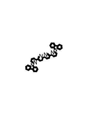 C1=NC(c2ccc(-c3cccc(-n4c5ccccc5c5ccccc54)n3)cn2)CC=C1c1cccc(-n2c3ccccc3c3ccccc32)n1